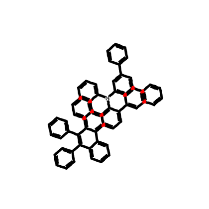 c1ccc(-c2cc(-c3ccccc3)cc(N(c3ccccc3-c3ccc4c(c3)c(-c3ccccc3)c(-c3ccccc3)c3ccccc34)c3c(-c4ccccc4)cccc3-c3ccccc3)c2)cc1